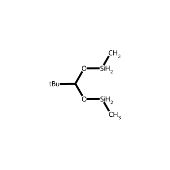 C[SiH2]OC(O[SiH2]C)C(C)(C)C